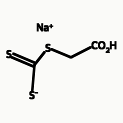 O=C(O)CSC(=S)[S-].[Na+]